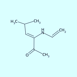 C=CN/C(=C\C(C)C)C(C)=O